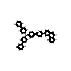 C=C(/C=C\C(=C/C)c1ccc2ccc3ccccc3c2c1)c1ccc(N(c2ccc(-c3ccccc3)cc2)c2ccc(-c3ccccc3)cc2)cc1